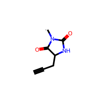 C#CCC1NC(=O)N([CH2])C1=O